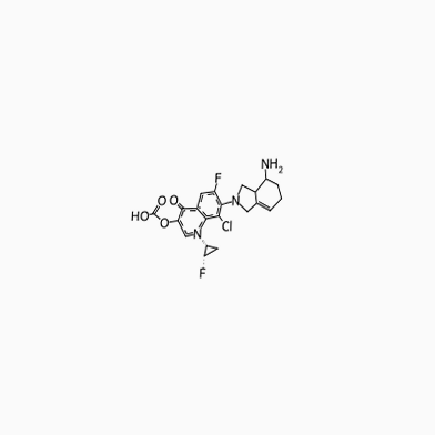 NC1CCC=C2CN(c3c(F)cc4c(=O)c(OC(=O)O)cn([C@@H]5C[C@@H]5F)c4c3Cl)CC21